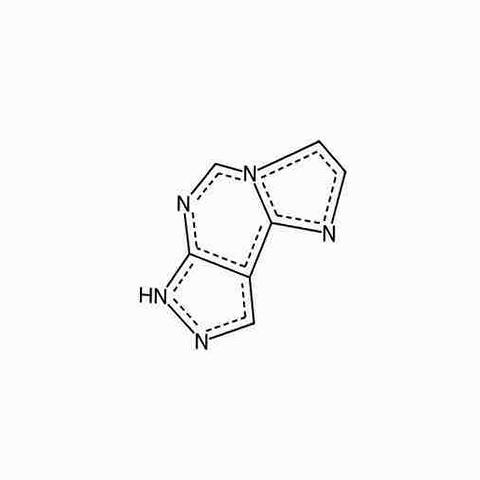 c1cn2cnc3[nH]ncc3c2n1